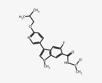 CC(C)COc1ccc(-c2cn(C)c3cc(C(=O)N[S+](C)[O-])c(F)cc23)cn1